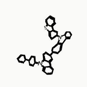 c1ccc(-c2ccc(-n3c4ccccc4c4cc(-c5ccc6c7ccccc7n(-c7ccc8sc9ccccc9c8c7)c6c5)ccc43)cc2)cc1